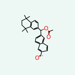 CC(=O)OC(c1ccc2c(c1)C(C)(C)CCC2(C)C)c1ccc2cc([C]=O)ccc2c1